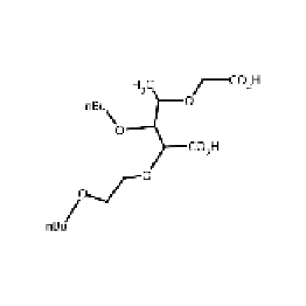 CCCCOCCOC(C(=O)O)C(OCCCC)C(C)OCC(=O)O